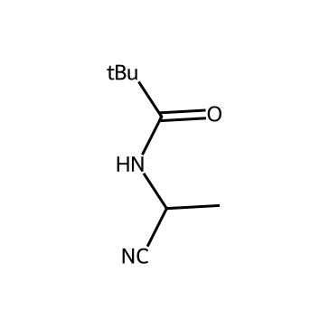 CC(C#N)NC(=O)C(C)(C)C